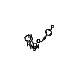 Fc1ccc(C#CCOc2nsnc2[C@@H]2CN3CCC[C@H]2C3)cc1